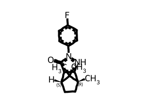 CC1(C)[C@@H]2CC[C@@]1(C)c1[nH]n(-c3ccc(F)cc3)c(=O)c12